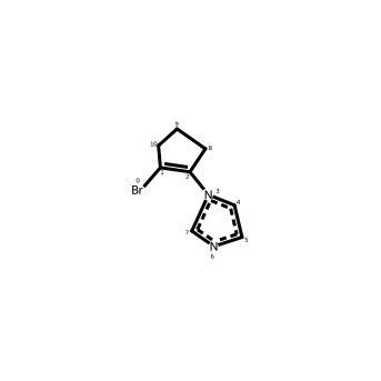 BrC1=C(n2ccnc2)CCC1